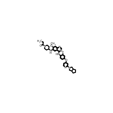 C=CC(=O)N1CCC(Nc2cc3c(Nc4ccc(Oc5ccnc(N6CC7CCCC7C6)c5)cc4F)ncnc3cc2OC)CC1